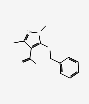 Cn1nc(Cl)c(C(=O)Cl)c1SCc1ccccc1